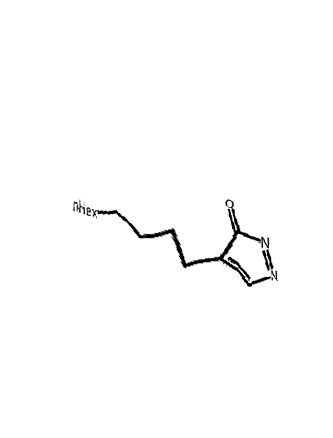 CCCCCCCCCCC1=CN=NC1=O